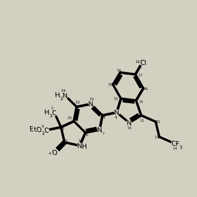 CCOC(=O)C1(C)C(=O)Nc2nc(-n3nc(CCC(F)(F)F)c4cc(Cl)ccc43)nc(N)c21